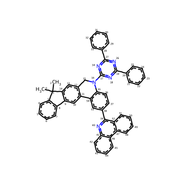 CC1(C)c2ccccc2-c2cc3c(cc21)CN(c1nc(-c2ccccc2)nc(-c2ccccc2)n1)c1ccc(-c2nc4ccccc4c4ccccc24)cc1-3